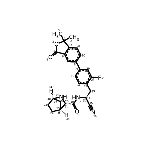 CC1(C)OC(=O)c2cc(-c3ccc(C[C@@H](C#N)NC(=O)[C@H]4N[C@@H]5CC[C@H]4C5)c(F)c3)ccc21